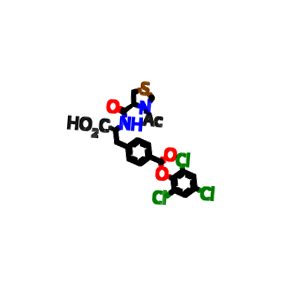 CC(=O)N1CSC[C@@H]1C(=O)N[C@@H](Cc1ccc(C(=O)Oc2c(Cl)cc(Cl)cc2Cl)cc1)C(=O)O